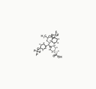 CC(C)CC[C@H](c1ccc(OC(F)(F)F)cc1)N1CC[C@@H](CC(=O)O)C[C@H]1c1ccc(C(F)(F)F)cc1